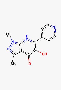 Cn1nc(C(F)(F)F)c2c(=O)c(O)c(-c3ccncc3)[nH]c21